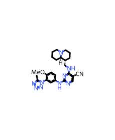 COc1ccc(Nc2ncc(C#N)c(NC[C@@H]3CCCN4CCCC[C@H]34)n2)cc1-n1nnnc1C